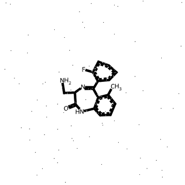 Cc1cccc2c1C(c1ccccc1F)=NC(CN)C(=O)N2